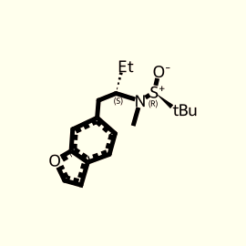 CC[C@@H](Cc1ccc2ccoc2c1)N(C)[S@@+]([O-])C(C)(C)C